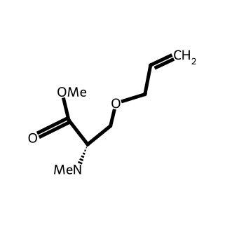 C=CCOC[C@H](NC)C(=O)OC